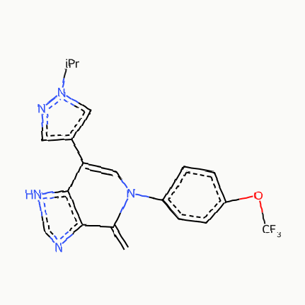 C=C1c2nc[nH]c2C(c2cnn(C(C)C)c2)=CN1c1ccc(OC(F)(F)F)cc1